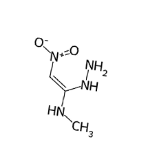 CNC(=C[N+](=O)[O-])NN